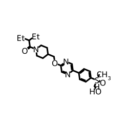 CCC(CC)C(=O)N1CCC(COc2cnc(-c3ccc([SH](C)(=O)CO)cc3)cn2)CC1